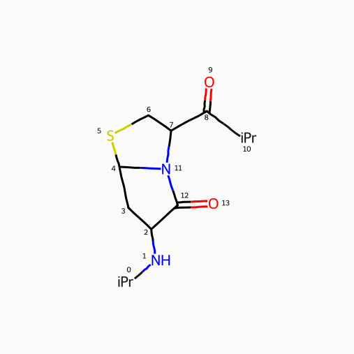 CC(C)NC1CC2SCC(C(=O)C(C)C)N2C1=O